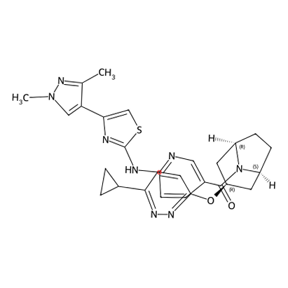 Cc1nn(C)cc1-c1csc(Nc2ccc(C(=O)N3[C@@H]4CC[C@H]3C[C@@H](Oc3ccc(C5CC5)nn3)C4)cn2)n1